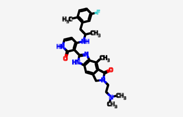 Cc1ccc(F)cc1CC(C)Nc1cc[nH]c(=O)c1-c1nc2c(C)c3c(cc2[nH]1)CN(CCN(C)C)C3=O